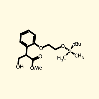 COC(=O)C(CO)c1ccccc1OCCO[Si](C)(C)C(C)(C)C